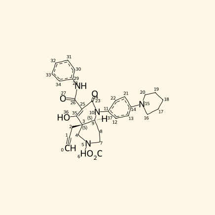 C#CC[C@]12CN(C(=O)O)CC[C@@H]1N(c1ccc(N3CCCCC3)cc1)C(=O)C(C(=O)Nc1ccccc1)=C2O